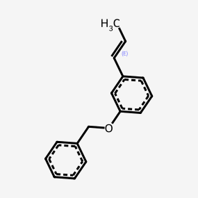 C/C=C/c1cccc(OCc2ccccc2)c1